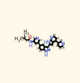 CC(C)CC(=O)Nc1cncc(-c2ccc3[nH]nc(-c4cc5c(-c6cccnc6)ccnc5[nH]4)c3c2)c1